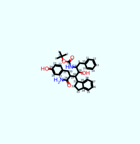 CC(C)(C)OC(=O)NC(Cc1ccccc1)C(O)C(C(Cc1ccc(O)cc1)C(N)=O)C1CCc2ccccc21